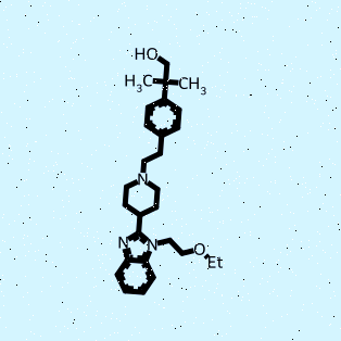 CCOCCn1c(C2CCN(CCc3ccc(C(C)(C)CO)cc3)CC2)nc2ccccc21